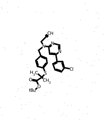 C#CCN(Cc1ccc(SC(C)(C)C(=O)OC(C)(C)C)cc1)c1cc(-c2cccc(Cl)c2)ncn1